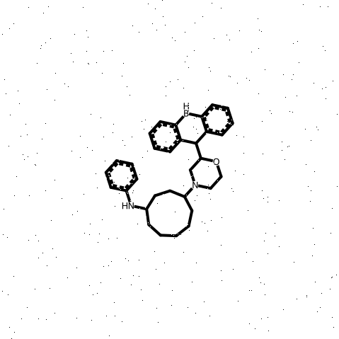 B1c2ccccc2C(C2CN(C3CCCCCC(Nc4ccccc4)CC3)CCO2)c2ccccc21